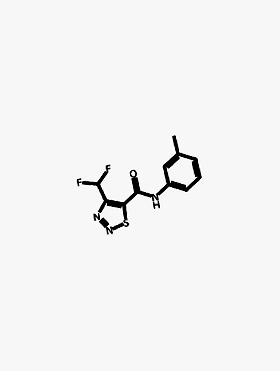 Cc1cccc(NC(=O)c2snnc2C(F)F)c1